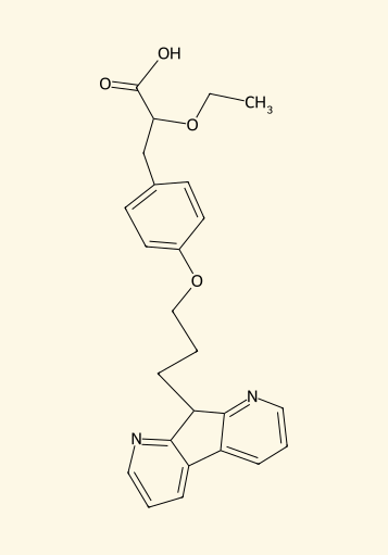 CCOC(Cc1ccc(OCCCC2c3ncccc3-c3cccnc32)cc1)C(=O)O